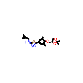 Cc1cc(-c2nnc(NCC3CC3)s2)cc(C)c1OC[C@H]1COC(C)(C)O1